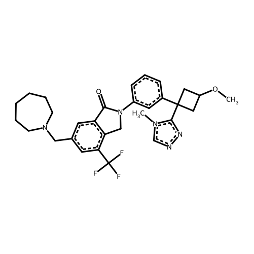 COC1CC(c2cccc(N3Cc4c(cc(CN5CCCCCC5)cc4C(F)(F)F)C3=O)c2)(c2nncn2C)C1